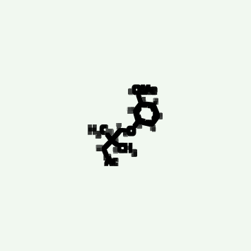 COc1cccc(OCC(C)(C)CC(C)=O)c1